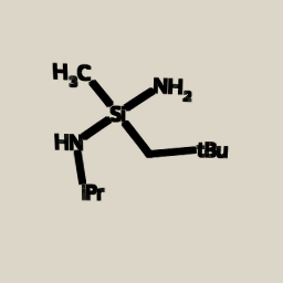 CC(C)N[Si](C)(N)CC(C)(C)C